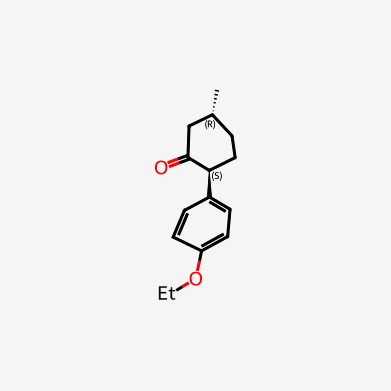 CCOc1ccc([C@@H]2CC[C@@H](C)CC2=O)cc1